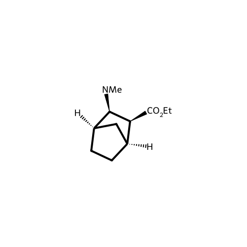 CCOC(=O)[C@H]1[C@H]2CC[C@H](C2)[C@H]1NC